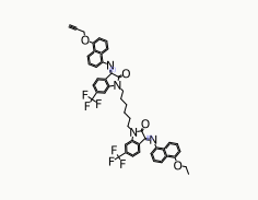 C#CCOc1cccc2c(/N=C3/C(=O)N(CCCCCCN4C(=O)/C(=N/c5cccc6c(OCC)cccc56)c5ccc(C(F)(F)F)cc54)c4cc(C(F)(F)F)ccc43)cccc12